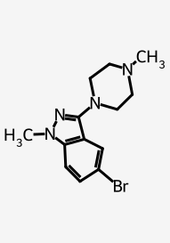 CN1CCN(c2nn(C)c3ccc(Br)cc23)CC1